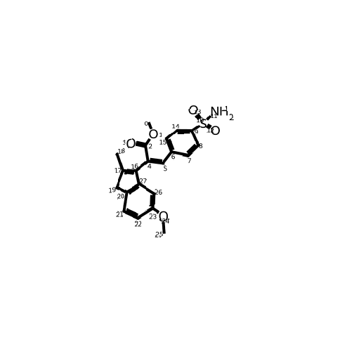 COC(=O)C(=Cc1ccc(S(N)(=O)=O)cc1)C1=C(C)Cc2ccc(OC)cc21